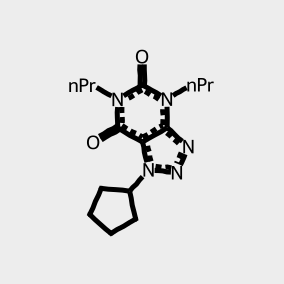 CCCn1c(=O)c2c(nnn2C2CCCC2)n(CCC)c1=O